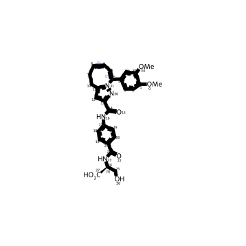 COc1ccc(/C2=C/C=C\CCc3cc(C(=O)Nc4ccc(C(=O)N[C@@H](CO)C(=O)O)cc4)nn32)cc1OC